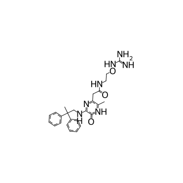 Cc1[nH]c(=O)c(NCC(C)(c2ccccc2)c2ccccc2)nc1CC(=O)NCCONC(=N)N